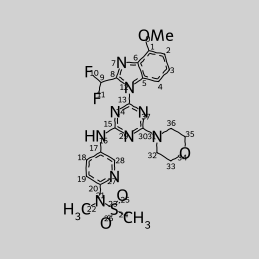 COc1cccc2c1nc(C(F)F)n2-c1nc(Nc2ccc(N(C)S(C)(=O)=O)nc2)nc(N2CCOCC2)n1